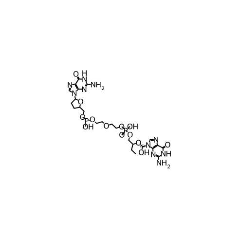 CCC(COP(=O)(O)OCCOCCOP(O)OCC1CCC(n2cnc3c(=O)[nH]c(N)nc32)O1)O[C@H](O)n1cnc2c(=O)[nH]c(N)nc21